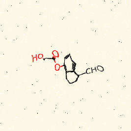 O=CC1CCCc2c(OC(=O)CO)cccc21